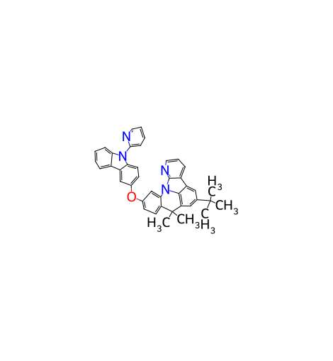 CC(C)(C)c1cc2c3c(c1)c1cccnc1n3-c1cc(Oc3ccc4c(c3)c3ccccc3n4-c3ccccn3)ccc1C2(C)C